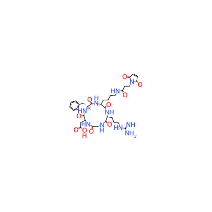 N=C(N)NCCCC1NC(=O)C(CCCCNC(=O)CCN2C(=O)C=CC2=O)NC(=O)[C@@H](Cc2ccccc2)NC(=O)C(CC(=O)O)NC(=O)CNC1=O